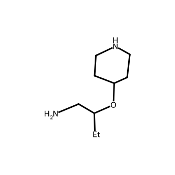 CCC(CN)OC1CCNCC1